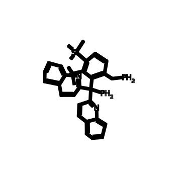 CC(C)(C)c1c([Si](C)(C)C)ccc(CP)c1C(P)(c1ccc2ccccc2n1)c1ccc2ccccc2n1